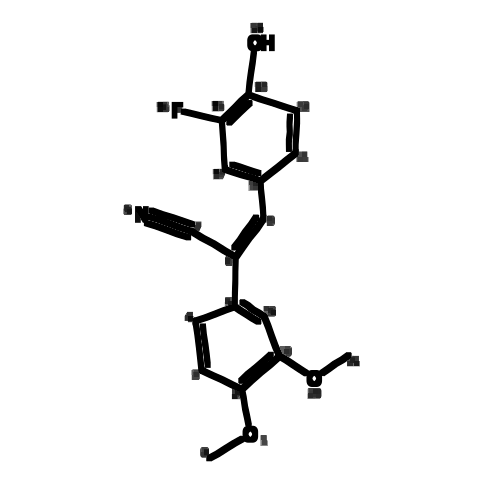 COc1ccc(C(C#N)=Cc2ccc(O)c(F)c2)cc1OC